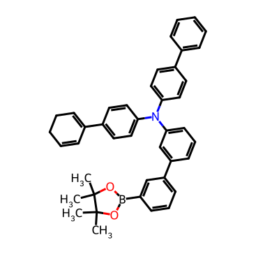 CC1(C)OB(c2cccc(-c3cccc(N(c4ccc(C5=CCCC=C5)cc4)c4ccc(-c5ccccc5)cc4)c3)c2)OC1(C)C